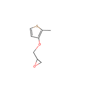 Cc1sccc1OCC1CO1